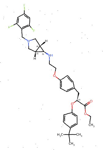 CCOC(=O)[C@H](Cc1ccc(OCCN[C@H]2[C@@H]3CN(Cc4c(F)cc(F)cc4F)C[C@@H]32)cc1)Oc1ccc(C(C)(C)C)cc1